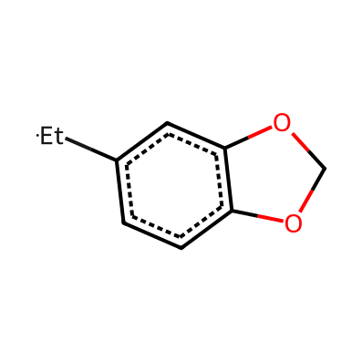 C[CH]c1ccc2c(c1)OCO2